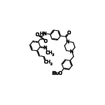 C=C/C=C1/C=CC=C(S(=O)(=O)Nc2ccc(C(=O)N3CCN(Cc4ccc(OCC(C)C)cc4)CC3)cc2)/C1=N/C